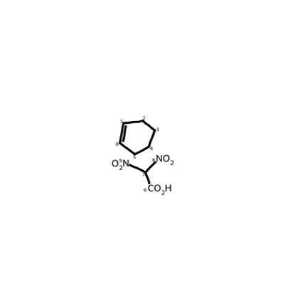 C1=CCCCC1.O=C(O)C([N+](=O)[O-])[N+](=O)[O-]